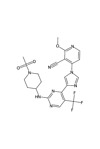 COc1nccc(-n2cnc(-c3nc(NC4CCN(S(C)(=O)=O)CC4)ncc3C(F)(F)F)c2)c1C#N